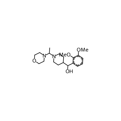 COc1cccc(C(O)C2CCN(C(C)N3CCOCC3)CC2)c1OC